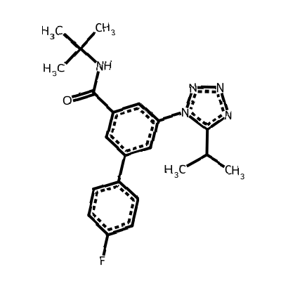 CC(C)c1nnnn1-c1cc(C(=O)NC(C)(C)C)cc(-c2ccc(F)cc2)c1